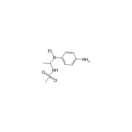 CCN(c1ccc(N)cc1)C(C)NS(C)(=O)=O